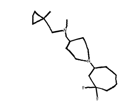 CN(CC1(C)CC1)C1CCN(C2CCCCC(F)(F)C2)CC1